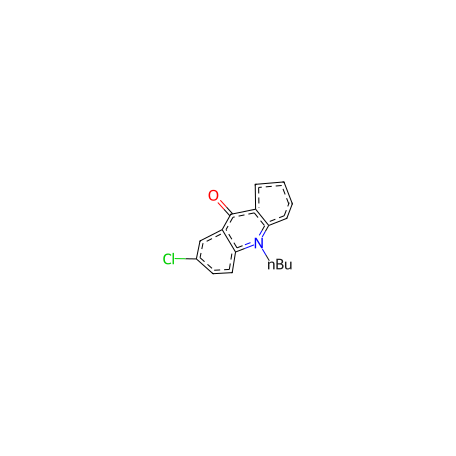 CCCCn1c2ccccc2c(=O)c2cc(Cl)ccc21